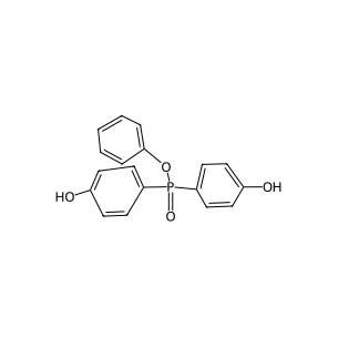 O=P(Oc1ccccc1)(c1ccc(O)cc1)c1ccc(O)cc1